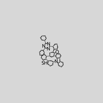 Sc1cccc(-c2ccc3oc4cccc(-c5nc(-c6ccccc6)nc(-c6ccccc6)n5)c4c3c2)c1-c1cccc(-n2c3ccccc3c3ccccc32)c1